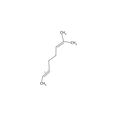 C/C=C/CCC=C(C)C